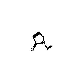 C=CN1CC#CC1=O